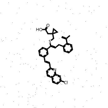 C=C(C)c1ccccc1CC=C(SCC1(CC(=O)O)CC1)c1cccc(/C=C/c2ccc3ccc(Cl)cc3n2)c1